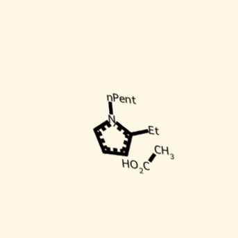 CC(=O)O.CCCCCn1cccc1CC